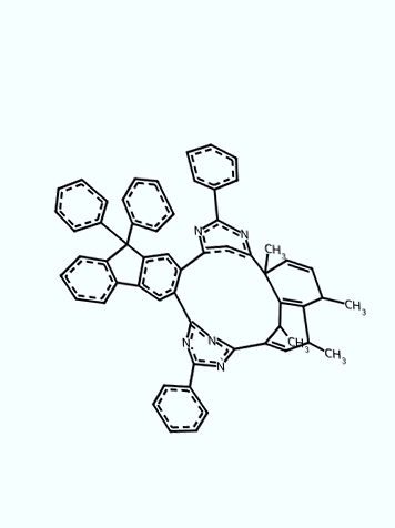 CC1C=CC2(C)C3=C1C(C)C=C(c1nc(-c4ccccc4)nc(n1)-c1cc4c(cc1-c1cc2nc(-c2ccccc2)n1)C(c1ccccc1)(c1ccccc1)c1ccccc1-4)C3C